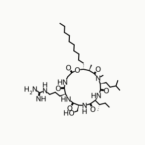 CCCCCCCCCC[C@H]1OC(=O)CNC(=O)[C@H](CCCNC(=N)N)NC(=O)[C@H](CO)NC(=O)[C@H]([C@@H](C)CC)NC(=O)[C@H](CCC(C)C)N(C)C(=O)[C@@H]1C